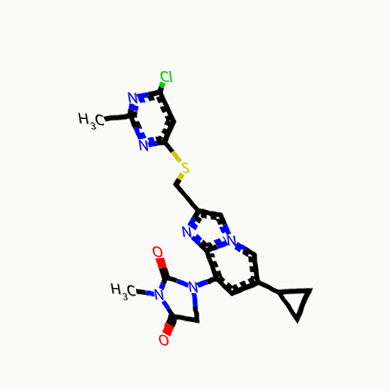 Cc1nc(Cl)cc(SCc2cn3cc(C4CC4)cc(N4CC(=O)N(C)C4=O)c3n2)n1